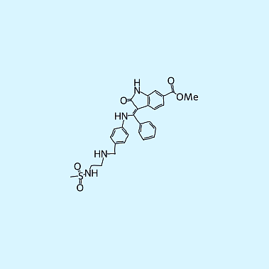 COC(=O)c1ccc2c(c1)NC(=O)/C2=C(\Nc1ccc(CNCCNS(C)(=O)=O)cc1)c1ccccc1